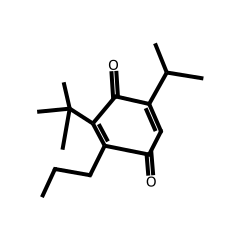 CCCC1=C(C(C)(C)C)C(=O)C(C(C)C)=CC1=O